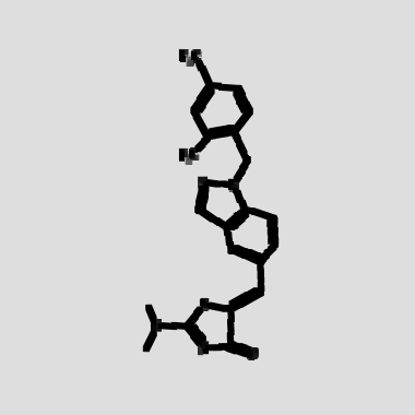 CN(C)C1=NC(=O)C(=Cc2ccc3c(cnn3Cc3ccc(C(F)(F)F)cc3C(F)(F)F)c2)S1